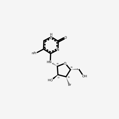 CCCc1c[nH]c(=O)nc1N[C@@H]1O[C@H](CO)[C@H](Br)[C@H]1O